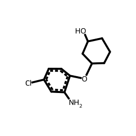 Nc1cc(Cl)ccc1OC1CCCC(O)C1